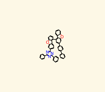 c1ccc(-c2ccc(-c3cc(-c4cccc5oc6cc(-c7nc(-c8ccccc8)nc(-c8ccccc8)n7)ccc6c45)c4c(c3)oc3ccccc34)cc2)cc1